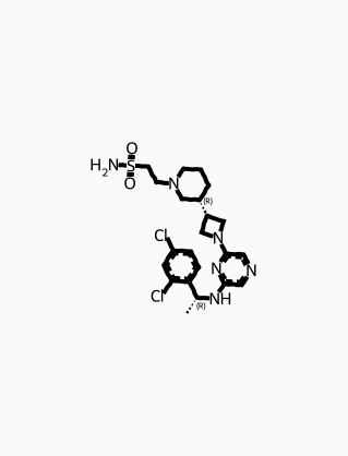 C[C@@H](Nc1cncc(N2CC([C@H]3CCCN(CCS(N)(=O)=O)C3)C2)n1)c1ccc(Cl)cc1Cl